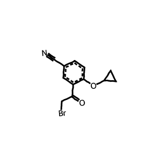 N#Cc1ccc(OC2CC2)c(C(=O)CBr)c1